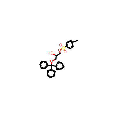 Cc1ccc(S(=O)(=O)OCC(O)COC(c2ccccc2)(c2ccccc2)c2ccccc2)cc1